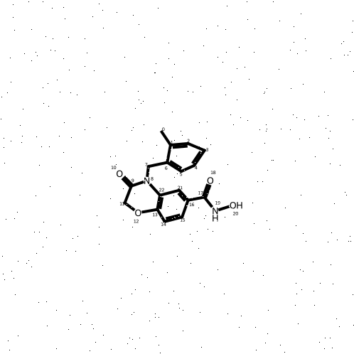 Cc1ccccc1CN1C(=O)COc2ccc(C(=O)NO)cc21